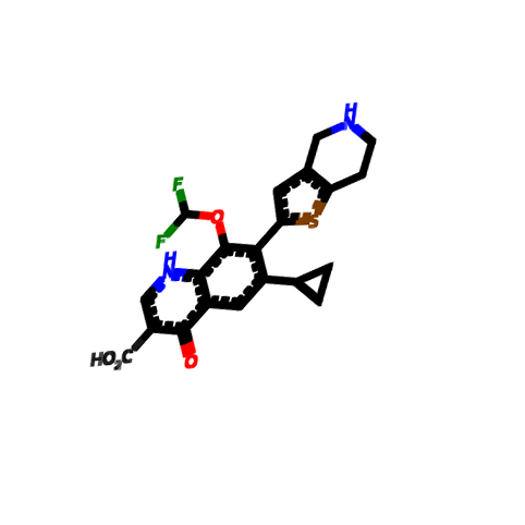 O=C(O)c1c[nH]c2c(OC(F)F)c(-c3cc4c(s3)CCNC4)c(C3CC3)cc2c1=O